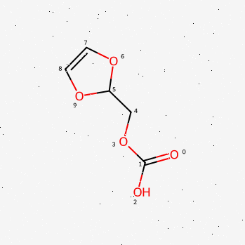 O=C(O)OCC1OC=CO1